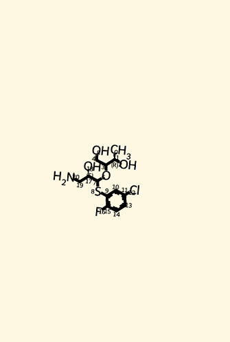 C[C@@H](O)C(CO)OC(Sc1cc(Cl)ccc1F)[C@@H](O)CN